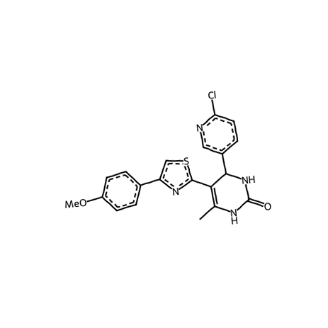 COc1ccc(-c2csc(C3=C(C)NC(=O)NC3c3ccc(Cl)nc3)n2)cc1